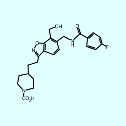 O=C(NCc1ccc2c(CCC3CCN(C(=O)O)CC3)noc2c1CO)c1ccc(F)cc1